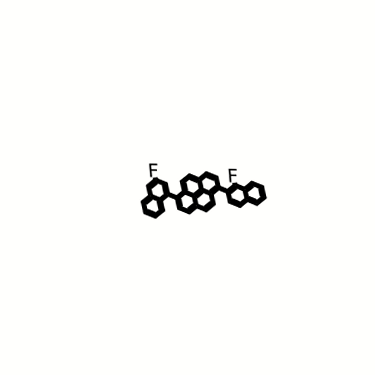 Fc1cc(-c2ccc3ccc4c(-c5ccc6ccccc6c5F)ccc5ccc2c3c54)c2ccccc2c1